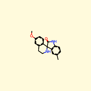 COc1ccc2c(c1)CCNC21C(=O)Nc2ccc(C)cc21